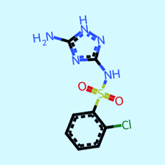 Nc1nc(NS(=O)(=O)c2ccccc2Cl)n[nH]1